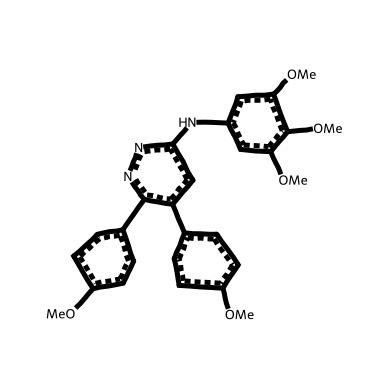 COc1ccc(-c2cc(Nc3cc(OC)c(OC)c(OC)c3)nnc2-c2ccc(OC)cc2)cc1